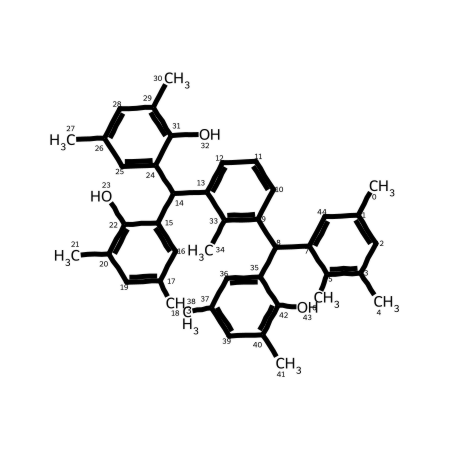 Cc1cc(C)c(C)c(C(c2cccc(C(c3cc(C)cc(C)c3O)c3cc(C)cc(C)c3O)c2C)c2cc(C)cc(C)c2O)c1